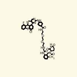 Cc1cccc(NC(=O)CNCCOCCOCCNC(=O)c2ccc(Nc3ncc4c(n3)-c3ccc(Cl)cc3C(c3c(F)cccc3P)=NC4)cc2)c1CN(C=O)C1CCC(=O)NC1=O